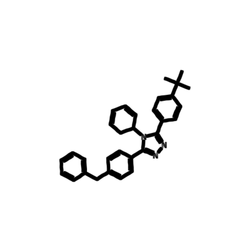 CC(C)(C)c1ccc(-c2nnc(-c3ccc(Cc4ccccc4)cc3)n2C2C=CC=CC2)cc1